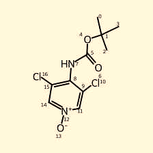 CC(C)(C)OC(=O)Nc1c(Cl)c[n+]([O-])cc1Cl